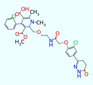 COC(=O)C1=C(c2ccccc2Cl)C(C(=O)O)=C(C)N(C)C1COCCNC(=O)COc1ccc(C2=NNC(=O)CC2)cc1Cl